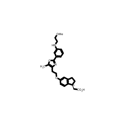 COCCNc1cccc(-c2nc(CCOc3ccc4c(c3)CC[C@H]4CC(=O)O)c(C)o2)c1